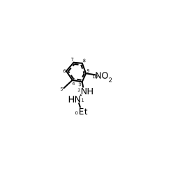 CCNNc1c(C)cccc1[N+](=O)[O-]